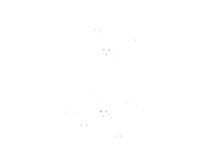 [O]=[Mo](=[O])([O-])[O-].[O]=[Mo](=[O])([O-])[O-].[Pb+4]